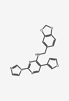 c1cn(-c2ncc(-c3ccoc3)c(NCc3ccc4c(c3)OCO4)n2)cn1